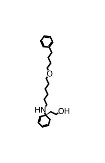 OCC[C@]1(NCCCCCCOCCCCc2ccccc2)C=CC=CC1